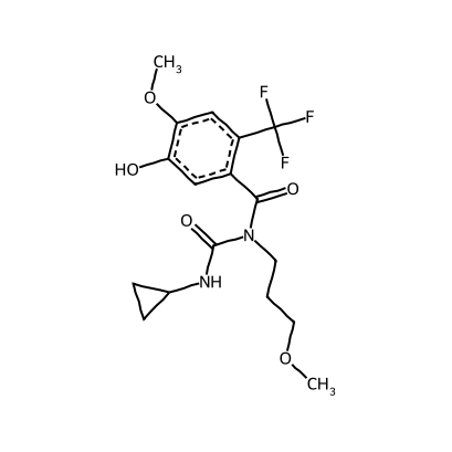 COCCCN(C(=O)NC1CC1)C(=O)c1cc(O)c(OC)cc1C(F)(F)F